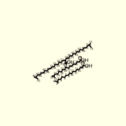 CC(C)CCCCCCCCCCCCCCC(=O)O.CC(C)CCCCCCCCCCCCCCC(=O)O.CC(C)CCCCCCCCCCCCCCCC(CCCCCCCCCCCCCC(C)C)C(=O)O